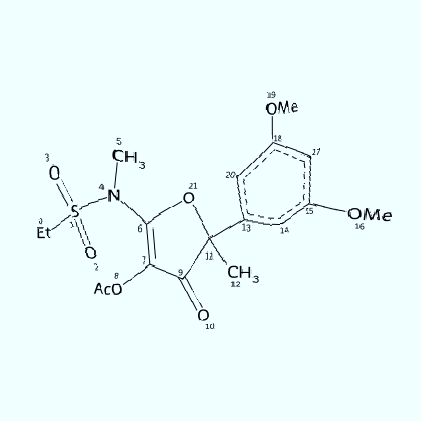 CCS(=O)(=O)N(C)C1=C(OC(C)=O)C(=O)C(C)(c2cc(OC)cc(OC)c2)O1